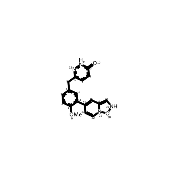 COc1ccc(Cc2ccc(=O)[nH]n2)cc1C1=CC2=CNON2C=C1